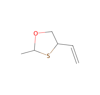 C=CC1COC(C)S1